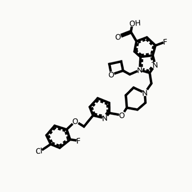 O=C(O)c1cc(F)c2nc(CN3CCC(Oc4cccc(COc5ccc(Cl)cc5F)n4)CC3)n(CC3CCO3)c2c1